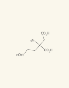 CCCCCCCCCCC(CCC)(CC(=O)O)C(=O)O